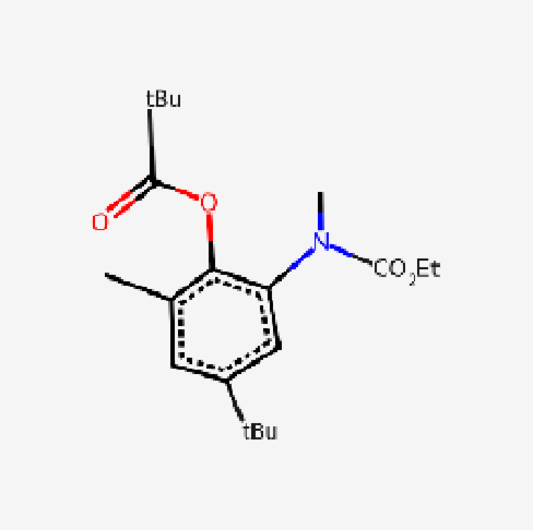 CCOC(=O)N(C)c1cc(C(C)(C)C)cc(C)c1OC(=O)C(C)(C)C